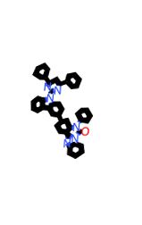 O=c1n(-c2ccccc2)c2cc(-c3ccc4c(c3)c3ccccc3n4-c3nc(-c4ccccc4)cc(-c4ccccc4)n3)ccc2c2nc3ccccc3n12